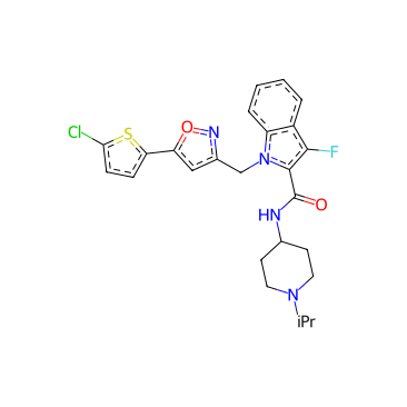 CC(C)N1CCC(NC(=O)c2c(F)c3ccccc3n2Cc2cc(-c3ccc(Cl)s3)on2)CC1